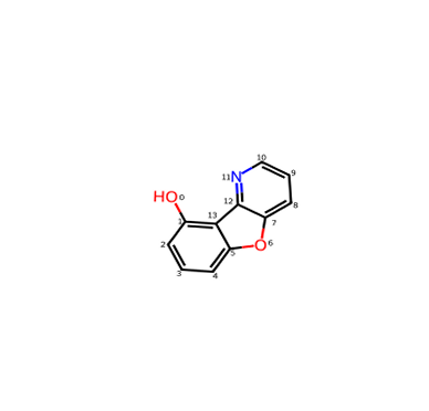 Oc1cccc2oc3cccnc3c12